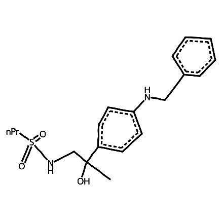 CCCS(=O)(=O)NCC(C)(O)c1ccc(NCc2ccccc2)cc1